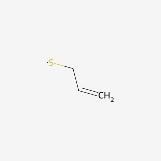 C=CC[S]